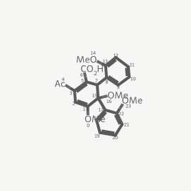 COC1=CC(C(C)=O)=C(C(=O)O)C(c2ccccc2OC)C1(OC)c1ccccc1OC